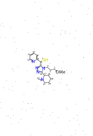 COCCCn1c(C(S)c2ccccn2)nnc1C1CCCCN1C